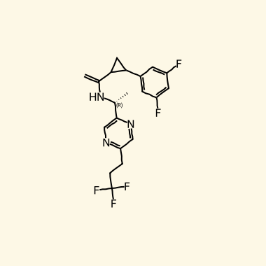 C=C(N[C@H](C)c1cnc(CCC(F)(F)F)cn1)C1CC1c1cc(F)cc(F)c1